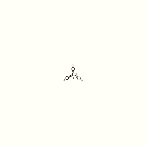 [O]=[Ca](=[O])=[O]